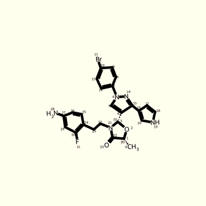 C[C@H]1O[C@@H](c2cn(-c3ccc(Br)cc3)nc2-c2cc[nH]c2)N(CCc2ccc(N)cc2F)C1=O